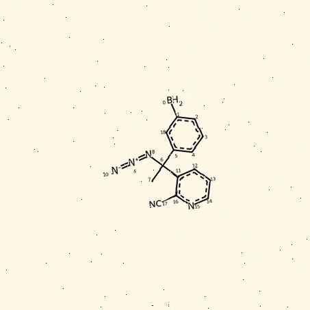 Bc1cccc(C(C)(N=[N+]=[N-])c2cccnc2C#N)c1